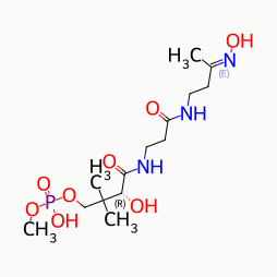 COP(=O)(O)OCC(C)(C)[C@@H](O)C(=O)NCCC(=O)NCC/C(C)=N/O